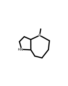 CN1CCCCC2NCCC21